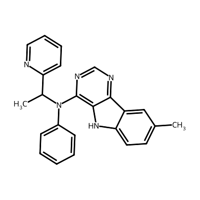 Cc1ccc2[nH]c3c(N(c4ccccc4)C(C)c4ccccn4)ncnc3c2c1